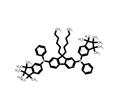 CCCCCCC1(CCCCCC)c2cc(N(c3ccccc3)c3ccc4c(c3)C(C)(C)C(C)(C)C4(C)C)ccc2-c2ccc(N(c3ccccc3)c3ccc4c(c3)C(C)(C)C(C)(C)C4(C)C)cc21